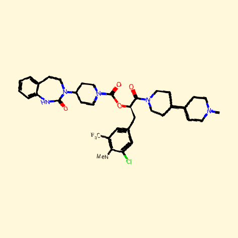 CNc1c(Cl)cc(C[C@@H](OC(=O)N2CCC(N3CCc4ccccc4NC3=O)CC2)C(=O)N2CCC(C3CCN(C)CC3)CC2)cc1C(F)(F)F